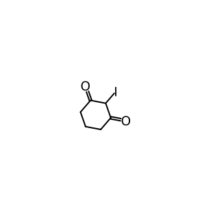 O=C1CCCC(=O)C1I